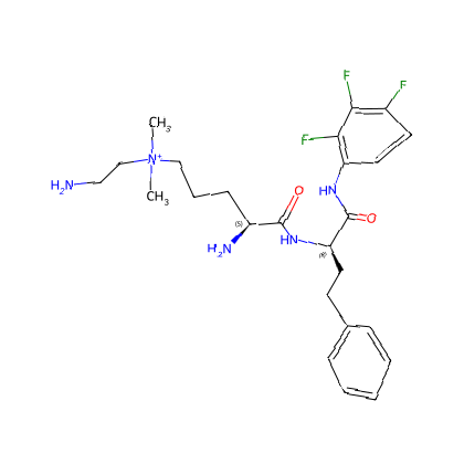 C[N+](C)(CCN)CCC[C@H](N)C(=O)N[C@H](CCc1ccccc1)C(=O)Nc1ccc(F)c(F)c1F